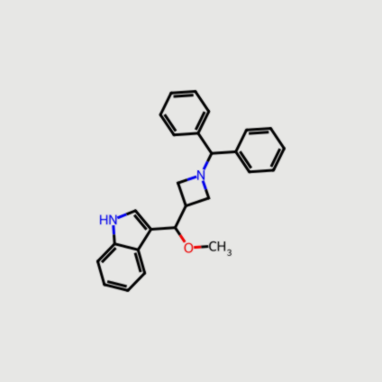 COC(c1c[nH]c2ccccc12)C1CN(C(c2ccccc2)c2ccccc2)C1